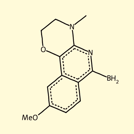 Bc1nc2c(c3cc(OC)ccc13)OCCN2C